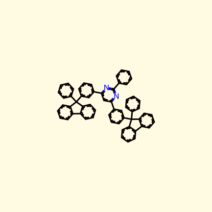 c1ccc(-c2nc(-c3cccc(C4(c5ccccc5)c5ccccc5-c5ccccc54)c3)cc(-c3cccc(C4(c5ccccc5)c5ccccc5-c5ccccc54)c3)n2)cc1